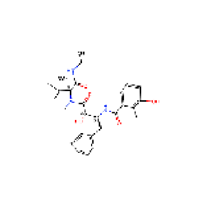 CSC(C)(C)[C@@H](C(=O)NCC#N)N(C)C(=O)[C@@H](O)[C@H](Cc1ccccc1)NC(=O)c1cccc(O)c1C